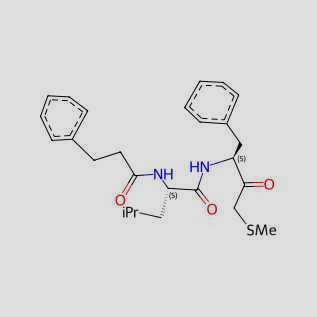 CSCC(=O)[C@H](Cc1ccccc1)NC(=O)[C@H](CC(C)C)NC(=O)CCc1ccccc1